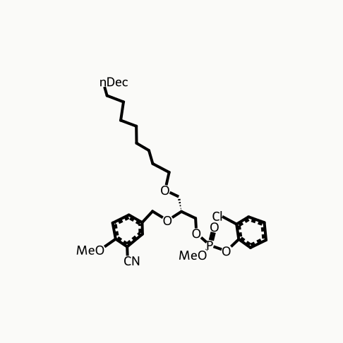 CCCCCCCCCCCCCCCCCCOC[C@H](COP(=O)(OC)Oc1ccccc1Cl)OCc1ccc(OC)c(C#N)c1